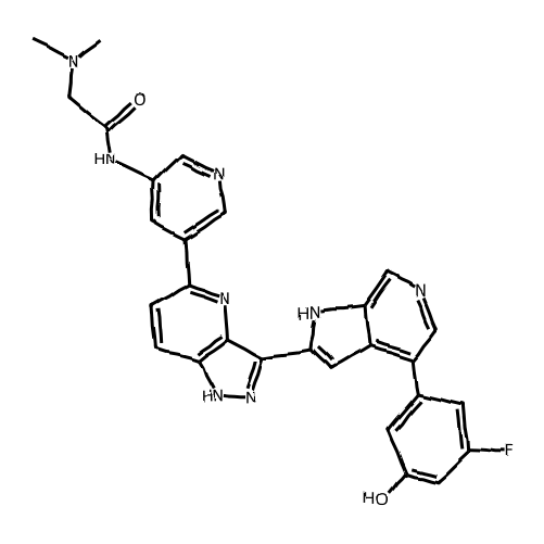 CN(C)CC(=O)Nc1cncc(-c2ccc3[nH]nc(-c4cc5c(-c6cc(O)cc(F)c6)cncc5[nH]4)c3n2)c1